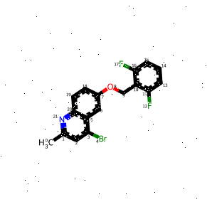 Cc1cc(Br)c2cc(OCc3c(F)cccc3F)ccc2n1